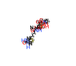 O=C(CNC(=O)CCCCC1SC[C@@H]2NC(=O)N[C@H]12)CC(C(=O)C(=O)ON1CCCC1)S(O)(O)O.[NaH]